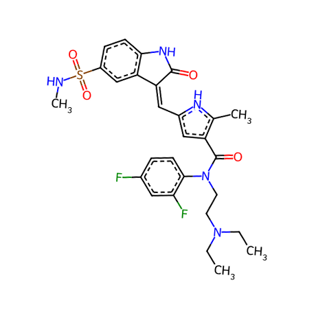 CCN(CC)CCN(C(=O)c1cc(/C=C2\C(=O)Nc3ccc(S(=O)(=O)NC)cc32)[nH]c1C)c1ccc(F)cc1F